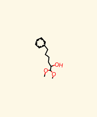 COC(OC)C(O)CCCCc1ccccc1